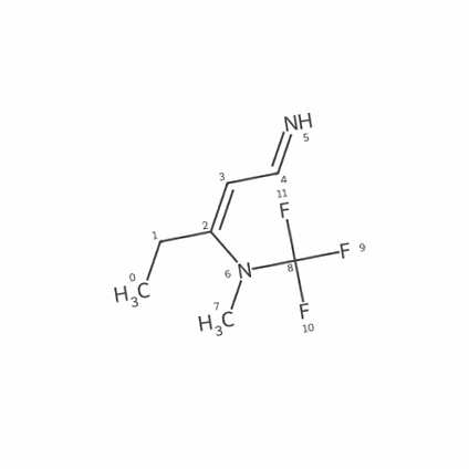 CC/C(=C/C=N)N(C)C(F)(F)F